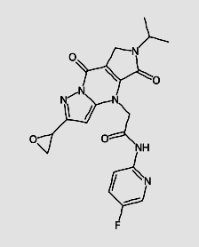 CC(C)N1Cc2c(n(CC(=O)Nc3ccc(F)cn3)c3cc(C4CO4)nn3c2=O)C1=O